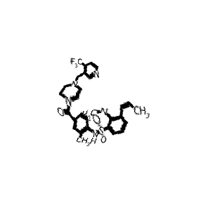 C=Nc1c(/C=C\C)cccc1S(=O)(=O)Nc1ccc(C(=O)N2CCN(Cc3cnccc3C(F)(F)F)CC2)cc1C